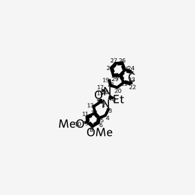 CCC(N1CCc2cc(OC)c(OC)cc2CC1=O)N(C)C(C)Cc1cccc2ccccc12